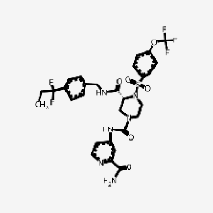 CCC(F)(F)c1ccc(CNC(=O)[C@H]2CN(C(=O)Nc3ccnc(C(N)=O)c3)CCN2S(=O)(=O)c2ccc(OC(F)(F)F)cc2)cc1